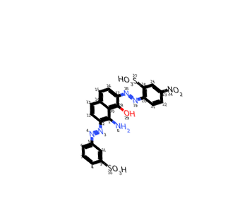 Nc1c(N=Nc2cccc(S(=O)(=O)O)c2)ccc2ccc(N=Nc3ccc([N+](=O)[O-])cc3S(=O)(=O)O)c(O)c12